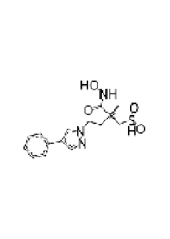 C[C@](CCn1cc(-c2ccccc2)cn1)(C[SH](=O)=O)C(=O)NO